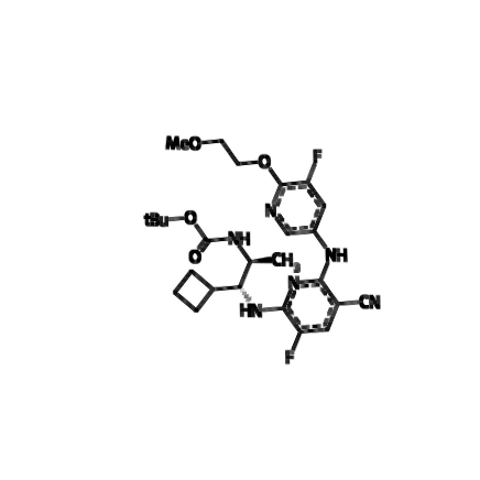 COCCOc1ncc(Nc2nc(N[C@H](C3CCC3)[C@H](C)NC(=O)OC(C)(C)C)c(F)cc2C#N)cc1F